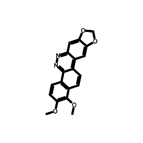 COc1ccc2c(ccc3c4cc5c(cc4nnc23)OCO5)c1OC